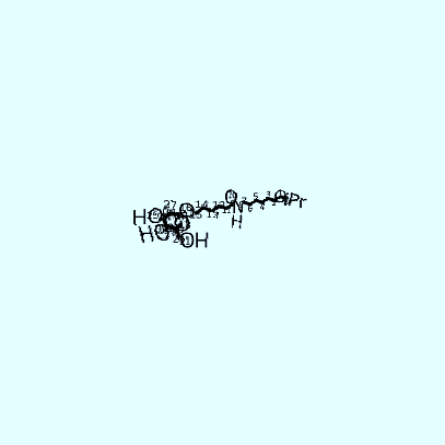 CC(C)OCCCCCCNC(=O)CCCCCO[C@@H]1OC(CO)[C@H](O)C(O)[C@@H]1C